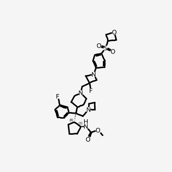 COC(=O)N[C@H]1CCC[C@@H]1C(CN1CCC1)(c1cccc(F)c1)C1CCN(CC2(F)CN(c3ccc(S(=O)(=O)C4COC4)cc3)C2)CC1